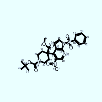 COC(=O)C1(c2c([N+](=O)[O-])cnc3c2ccn3S(=O)(=O)c2ccccc2)CCN(C(=O)OC(C)(C)C)CC1